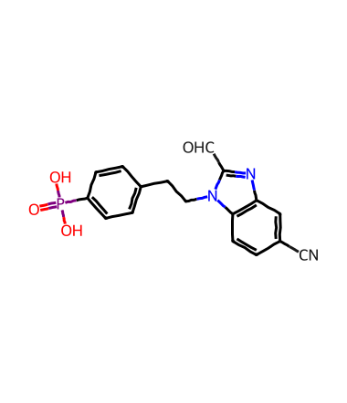 N#Cc1ccc2c(c1)nc(C=O)n2CCc1ccc(P(=O)(O)O)cc1